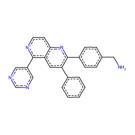 NCc1ccc(-c2nc3ccnc(-c4cncnc4)c3cc2-c2ccccc2)cc1